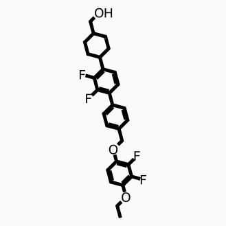 CCOc1ccc(OCc2ccc(-c3ccc(C4CCC(CO)CC4)c(F)c3F)cc2)c(F)c1F